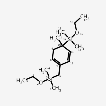 CCO[Si](C)(C)CC1=CCC(C)([Si](C)(C)OCC)C=C1